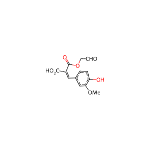 COc1cc(C=C(C(=O)O)C(=O)OCC=O)ccc1O